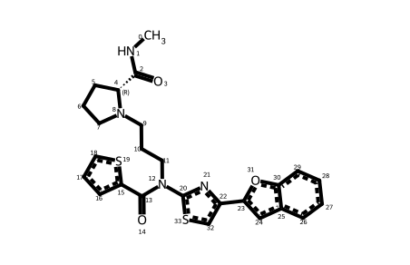 CNC(=O)[C@H]1CCCN1CCCN(C(=O)c1cccs1)c1nc(-c2cc3ccccc3o2)cs1